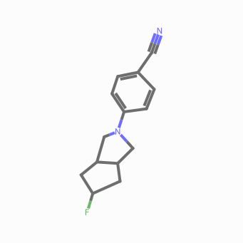 N#Cc1ccc(N2CC3CC(F)CC3C2)cc1